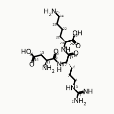 N=C(N)NCCC[C@H](NC(=O)[C@@H](N)CC(=O)O)C(=O)N[C@@H](CCCCN)C(=O)O